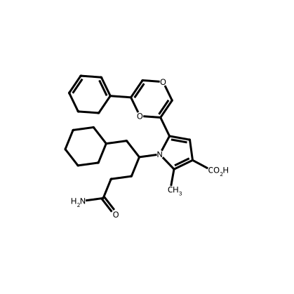 Cc1c(C(=O)O)cc(C2=COC=C(C3=CC=CCC3)O2)n1C(CCC(N)=O)CC1CCCCC1